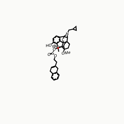 COC12CCC3(CC1C(C)(OS(=O)OCCC1=CCc4ccccc4C1)C(C)(C)C)C1N(CC4CC4)C14CC31c3c4ccc(O)c3OC21